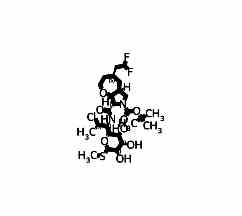 CSC1O[C@H]([C@H](NC(=O)[C@@H]2[C@@H]3OCC[C@@H](CC(F)F)C[C@H]3CN2C(=O)OC(C)(C)C)[C@H](C)Cl)C(O)[C@@H](O)[C@H]1O